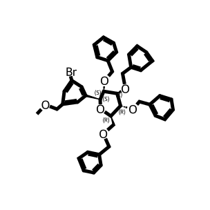 COCc1cc(Br)cc([C@@H]2O[C@H](COCc3ccccc3)[C@@H](OCc3ccccc3)[C@H](OCc3ccccc3)[C@H]2OCc2ccccc2)c1